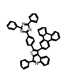 c1ccc(-c2nc(-c3ccccc3)nc(-c3ccc(-c4sc5c(-c6ccccc6)nc6ccccc6c5c4-c4ccc5c6ccccc6c6ccccc6c5c4)cc3)n2)cc1